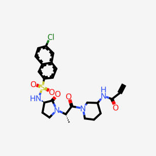 C#CC(=O)NC1CCCN(C(=O)[C@H](C)N2CC[C@H](NS(=O)(=O)c3ccc4cc(Cl)ccc4c3)C2=O)C1